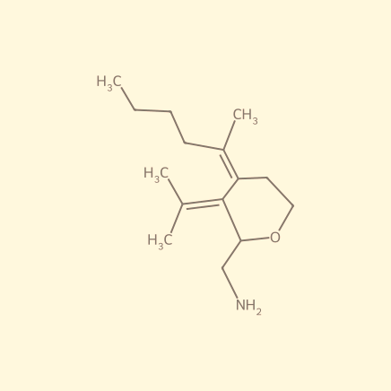 CCCC/C(C)=C1/CCOC(CN)C1=C(C)C